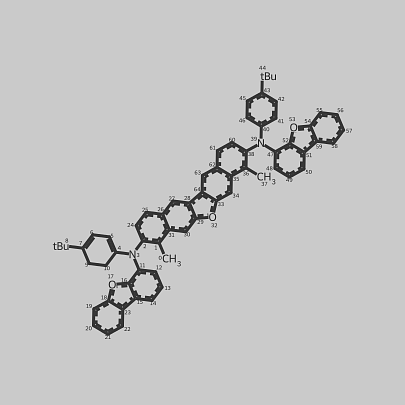 Cc1c(N(C2=CC=C(C(C)(C)C)CC2)c2cccc3c2oc2ccccc23)ccc2cc3c(cc12)oc1cc2c(C)c(N(c4ccc(C(C)(C)C)cc4)c4cccc5c4oc4ccccc45)ccc2cc13